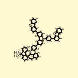 CC1(C)c2ccccc2-c2c(N(c3ccc(-c4ccc5c(c4)c4cc(-c6ccc7oc8ccccc8c7c6)ccc4n5-c4ccc(-c5cccc6c5oc5ccccc56)cc4)cc3)c3cccc4ccccc34)cccc21